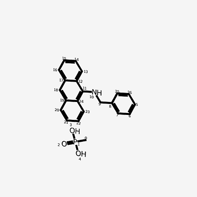 CP(=O)(O)O.c1ccc(CNc2c3ccccc3cc3ccccc23)cc1